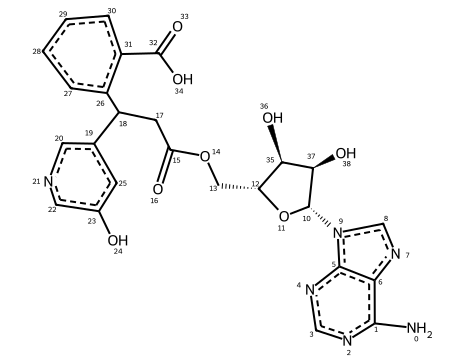 Nc1ncnc2c1ncn2[C@@H]1O[C@H](COC(=O)CC(c2cncc(O)c2)c2ccccc2C(=O)O)[C@@H](O)[C@H]1O